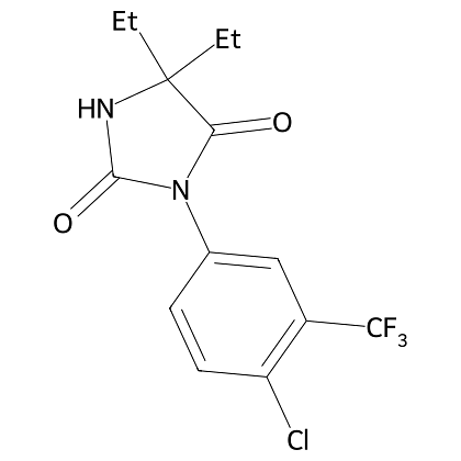 CCC1(CC)NC(=O)N(c2ccc(Cl)c(C(F)(F)F)c2)C1=O